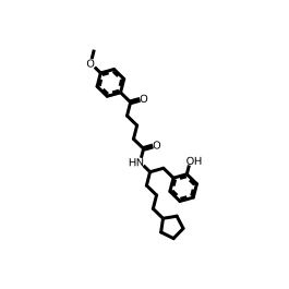 COc1ccc(C(=O)CCCC(=O)NC(CCCC2CCCC2)Cc2ccccc2O)cc1